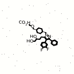 O=C(O)COC[C@H]1CC[C@@H](Cn2nc(-c3ccccc3)c(-c3ccc(F)c(F)c3)c2CC[C@H](O)CO)CC1